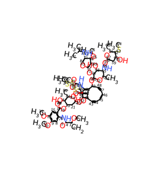 C=C(OC)C(=O)Nc1cc(OC)c(OC)cc1C(=O)O[C@H]1CC(O[C@@H]2C(=O)C(NC(=O)OC)=C3/C(=C\CSSSC)[C@]2(O)C#C/C=C\C#C[C@@H]3O[C@@H]2O[C@H](C)[C@@H](NOC3C[C@H](O)[C@H](SC)[C@@H](C)O3)[C@H](O)[C@H]2O[C@H]2C[C@H](OC)[C@@H](NC(C)C)CO2)O[C@@H](C)[C@@H]1O